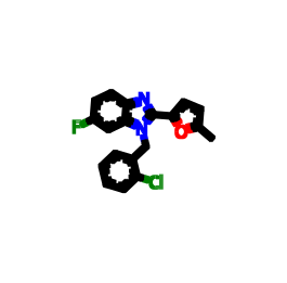 Cc1ccc(-c2nc3ccc(F)cc3n2Cc2ccccc2Cl)o1